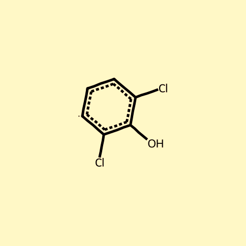 Oc1c(Cl)[c]ccc1Cl